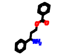 N[C@H](CCOC(=O)c1ccccc1)c1ccccc1